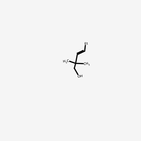 CCC=CC(C)(C)CO